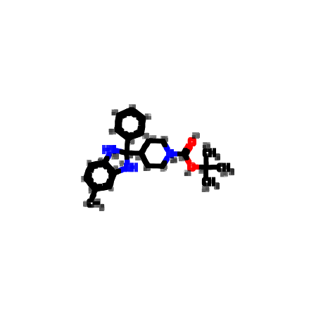 Cc1ccc2c(c1)NC(c1ccccc1)(C1CCN(C(=O)OC(C)(C)C)CC1)N2